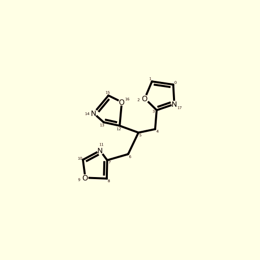 c1coc(C[C](Cc2cocn2)c2cnco2)n1